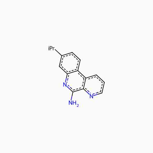 CC(C)c1ccc2c(c1)nc(N)c1ncccc12